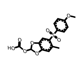 COc1ccc(S(=O)(=O)c2cc3c(cc2C)OC(OC(=O)O)O3)cc1